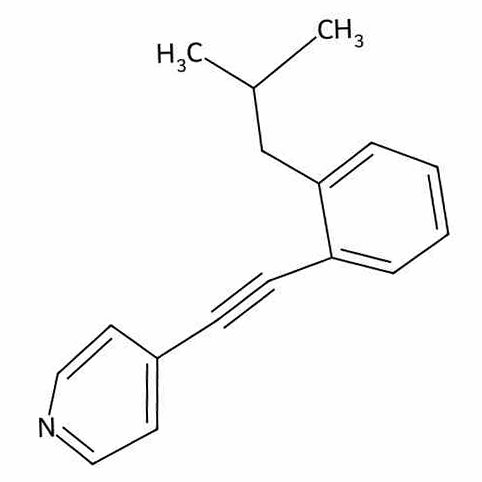 CC(C)Cc1ccccc1C#Cc1ccncc1